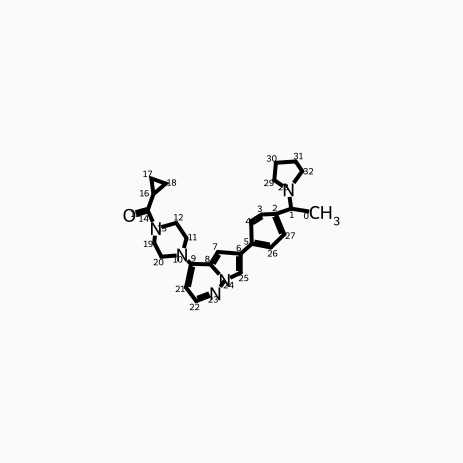 CC(c1ccc(-c2cc3c(N4CCN(C(=O)C5CC5)CC4)ccnn3c2)cc1)N1CCCC1